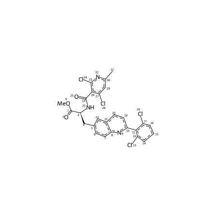 COC(=O)[C@H](Cc1ccc2nc(-c3c(Cl)cccc3Cl)ccc2c1)NC(=O)c1c(Cl)cc(C)nc1Cl